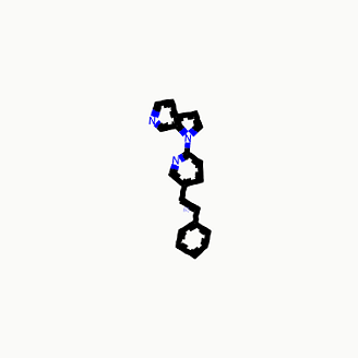 C(=C\c1ccc(-n2ccc3ccncc32)nc1)/c1ccccc1